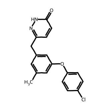 Cc1cc(Cc2ccc(=O)[nH]n2)cc(Oc2ccc(Cl)cc2)c1